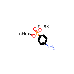 CCCCCCOP(=O)(OCCCCCC)c1ccc(N)cc1